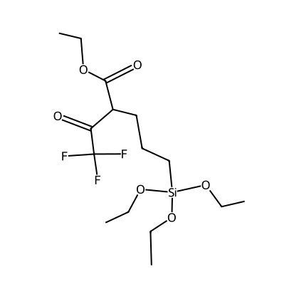 CCOC(=O)C(CCC[Si](OCC)(OCC)OCC)C(=O)C(F)(F)F